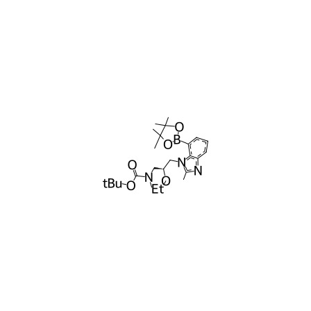 CCO[C@@H](CN(C)C(=O)OC(C)(C)C)Cn1c(C)nc2cccc(B3OC(C)(C)C(C)(C)O3)c21